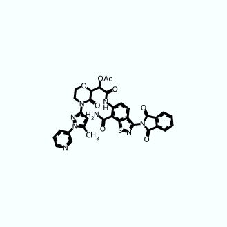 CC(=O)OC(C(=O)Nc1ccc2c(N3C(=O)c4ccccc4C3=O)nsc2c1C(N)=O)C1OCCN(c2cc(C)n(-c3cccnc3)n2)C1=O